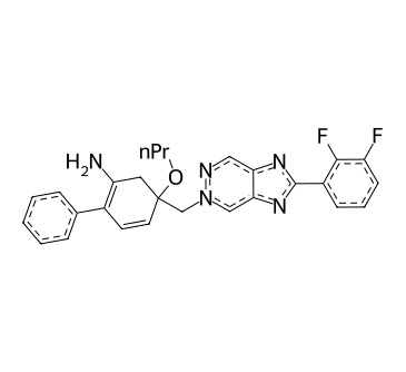 CCCOC1(Cn2cc3nc(-c4cccc(F)c4F)nc-3cn2)C=CC(c2ccccc2)=C(N)C1